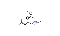 C/C=C(/CCC=C(C)C)CC(=O)OC